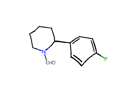 O=CN1CCCCC1c1ccc(F)cc1